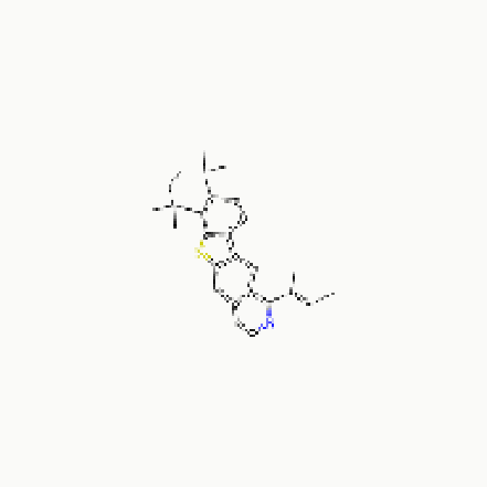 C/C=C(\C)c1nccc2cc3sc4c5c(ccc4c3cc12)C(C)(C)CCC5(C)C